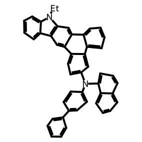 CCn1c2ccccc2c2cc3c4ccc(N(c5ccc(-c6ccccc6)cc5)c5cccc6ccccc56)cc4c4ccccc4c3cc21